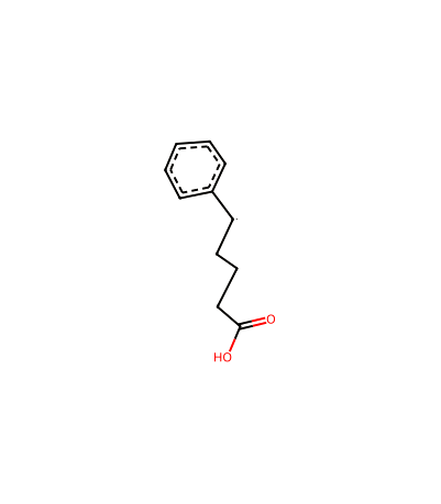 O=C(O)CCC[CH]c1ccccc1